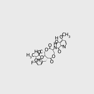 COc1ccnc(C(=O)N[C@H]2COC(=O)[C@H](Cc3ccc(F)cc3)[C@@H](OC(=O)C(C)C)[C@H](C)OC2=O)c1O